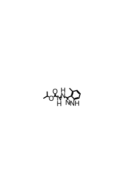 Cc1cccc2[nH]nc(NNC(=O)OC(C)C)c12